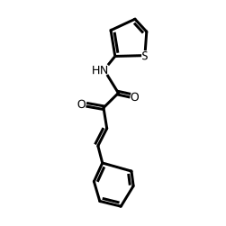 O=C(/C=C/c1ccccc1)C(=O)Nc1cccs1